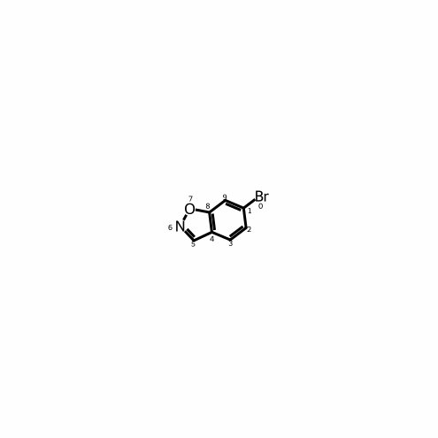 Brc1ccc2cnoc2c1